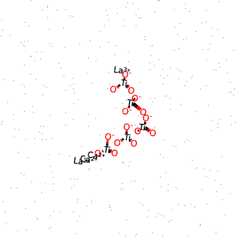 [Ca+2].[Ca+2].[La+3].[La+3].[O]=[Ti]([O-])[O-].[O]=[Ti]([O-])[O-].[O]=[Ti]([O-])[O-].[O]=[Ti]([O-])[O-].[O]=[Ti]([O-])[O-]